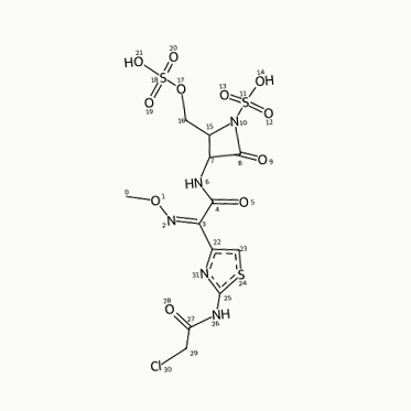 CON=C(C(=O)NC1C(=O)N(S(=O)(=O)O)C1COS(=O)(=O)O)c1csc(NC(=O)CCl)n1